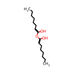 CCCCCC/C=C(\O)O/C(O)=C/CCCCCC